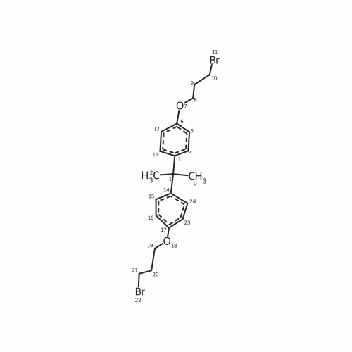 CC(C)(c1ccc(OCCCBr)cc1)c1ccc(OCCCBr)cc1